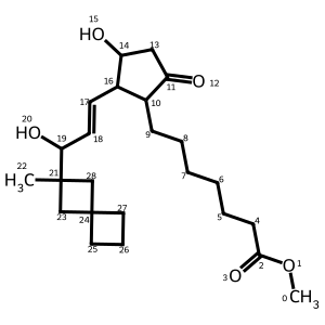 COC(=O)CCCCCCC1C(=O)CC(O)C1/C=C/C(O)C1(C)CC2(CCC2)C1